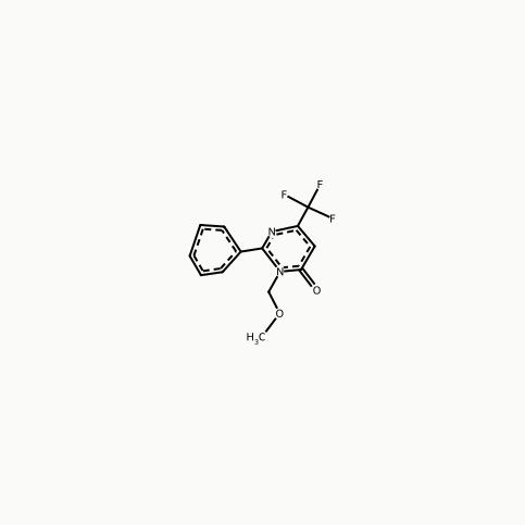 COCn1c(-c2ccccc2)nc(C(F)(F)F)cc1=O